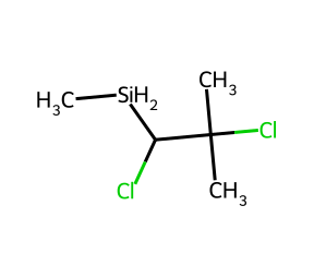 C[SiH2]C(Cl)C(C)(C)Cl